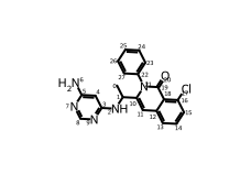 CC(Nc1cc(N)ncn1)c1cc2cccc(Cl)c2c(=O)n1-c1ccccc1